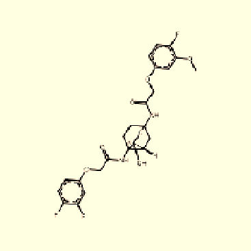 COc1cc(OCC(=O)NC23CCC(NC(=O)COc4ccc(F)c(F)c4)(CC2)[C@@H](O)C3)ccc1F